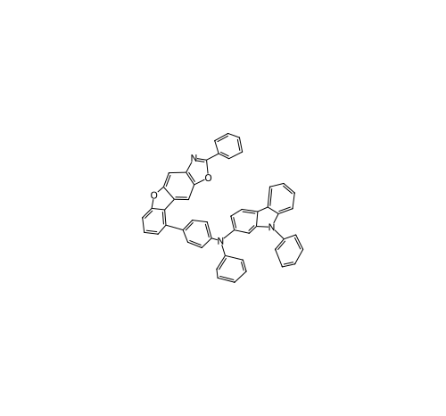 c1ccc(-c2nc3cc4oc5cccc(-c6ccc(N(c7ccccc7)c7ccc8c9ccccc9n(-c9ccccc9)c8c7)cc6)c5c4cc3o2)cc1